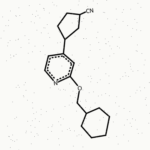 N#CC1CCC(c2ccnc(OCC3CCCCC3)c2)C1